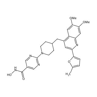 COc1cc2nc(-c3ccc(C)o3)cc(CC3CCN(c4ncc(C(=O)NO)cn4)CC3)c2cc1OC